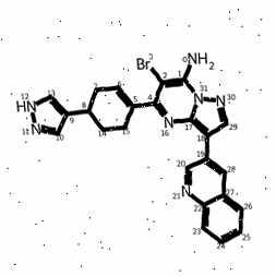 Nc1c(Br)c(C2=CCC(c3cn[nH]c3)CC2)nc2c(-c3cnc4ccccc4c3)cnn12